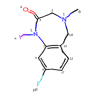 CN1CC(=O)N(I)c2cc(F)ccc2C1